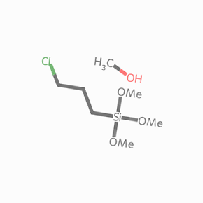 CO.CO[Si](CCCCl)(OC)OC